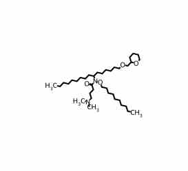 CCCCCCCCCCON(C(=O)CCCN(C)C)C(CCCCCCCCC)CCCCCCOCC1CCCCO1